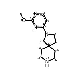 COc1nccc(N2CCC3(CCNCC3)C2)n1